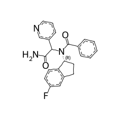 NC(=O)C(c1cccnc1)N(C(=O)c1ccccc1)[C@@H]1CCc2cc(F)ccc21